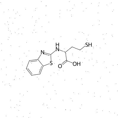 O=C(O)C(CCS)Nc1nc2ccccc2s1